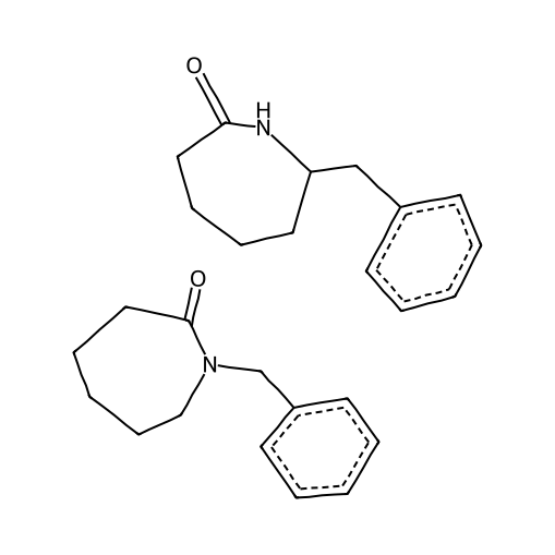 O=C1CCCCC(Cc2ccccc2)N1.O=C1CCCCCN1Cc1ccccc1